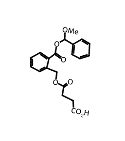 COC(OC(=O)c1ccccc1COC(=O)CCC(=O)O)c1ccccc1